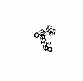 CC(C)C[C@H](NC(=O)C1(C(O)c2ccccc2)CC(CNC(=O)c2nccc3ccccc23)=NO1)B(O)O